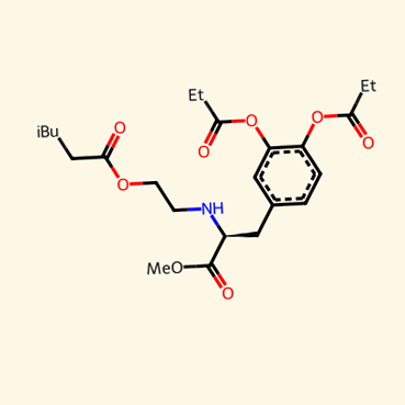 CCC(=O)Oc1ccc(C[C@H](NCCOC(=O)CC(C)CC)C(=O)OC)cc1OC(=O)CC